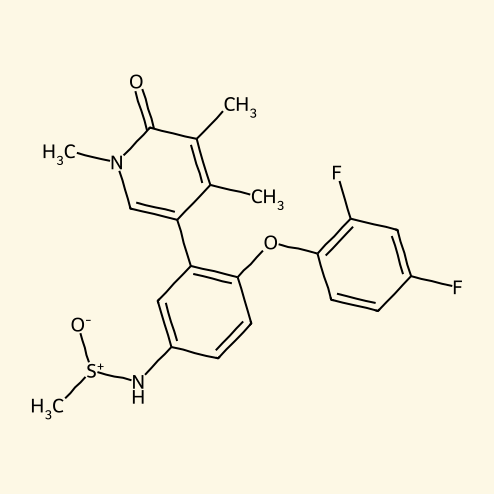 Cc1c(-c2cc(N[S+](C)[O-])ccc2Oc2ccc(F)cc2F)cn(C)c(=O)c1C